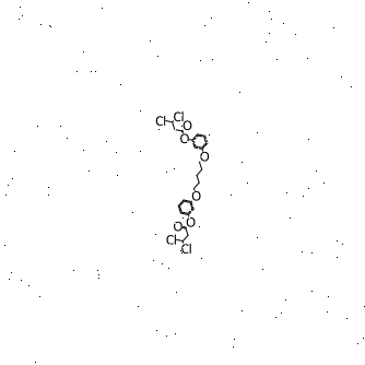 O=C(CC(Cl)Cl)Oc1cccc(OCCCCCOc2cccc(OC(=O)CC(Cl)Cl)c2)c1